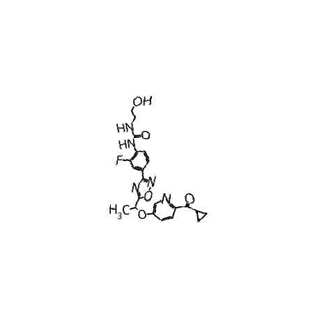 CC(Oc1ccc(C(=O)C2CC2)nc1)c1nc(-c2ccc(NC(=O)NCCO)c(F)c2)no1